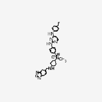 CN(C1CCC(NCc2ccc3nonc3c2)CC1)S(=O)(=O)c1ccc(Nc2nccc(Nc3ccc(F)cc3)n2)cc1